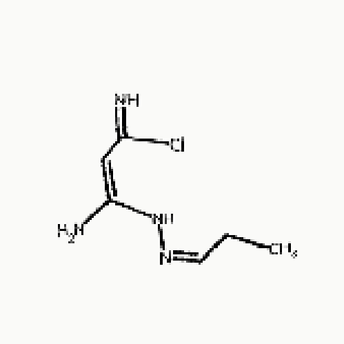 CC/C=N\N/C(N)=C\C(=N)Cl